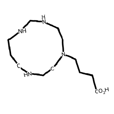 O=C(O)CCCN1CCNCCCNCNCC1